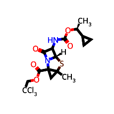 C[C@H](OC(=O)NC1C(=O)N2[C@H]1SC1(C)CC21C(=O)OCC(Cl)(Cl)Cl)C1CC1